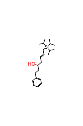 CC(C)[Si](C/C=C/CC(O)CCc1ccccc1)(C(C)C)C(C)C